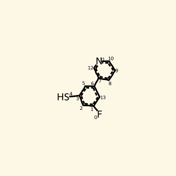 Fc1cc(S)cc(-c2cccnc2)c1